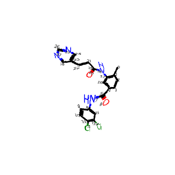 Cc1ccc(C(=O)Nc2ccc(Cl)c(Cl)c2)cc1NC(=O)C=Cc1cncnc1